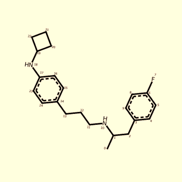 CC(Cc1ccc(F)cc1)NCCCc1ccc(NC2CCC2)cc1